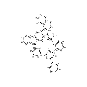 CC1(C)c2cc3c(cc2-c2c1ccc1ccccc21)c1ccccc1n3-c1cccc(-c2nc(-c3ccccc3)nc(-c3ccccc3)n2)c1